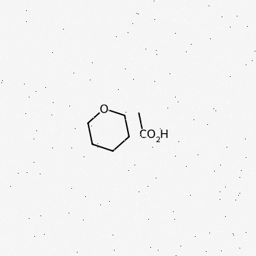 C1CCOCC1.CC(=O)O